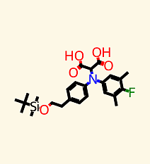 Cc1cc(N(c2ccc(CCO[Si](C)(C)C(C)(C)C)cc2)C(C(=O)O)C(=O)O)cc(C)c1F